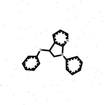 c1ccc(SC2CN(c3ccccc3)c3ncccc32)cc1